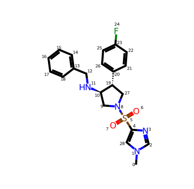 Cn1cnc(S(=O)(=O)N2C[C@@H](NCc3ccccc3)[C@H](c3ccc(F)cc3)C2)c1